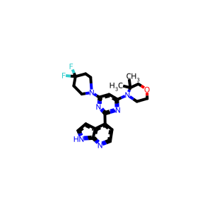 CC1(C)COCCN1c1cc(N2CCC(F)(F)CC2)nc(-c2ccnc3[nH]ccc23)n1